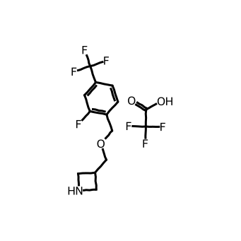 Fc1cc(C(F)(F)F)ccc1COCC1CNC1.O=C(O)C(F)(F)F